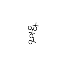 CC(=O)COC(C)(C)C(=O)OC(C)(C)C